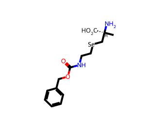 C[C@](N)(C[Se]CCNC(=O)OCc1ccccc1)C(=O)O